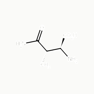 C[C@H](C(N)=O)[C@H](N)C(=O)O